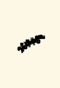 CC(C)(C)OC(=O)N1CC(n2cc(OC(F)C(F)F)cn2)C1